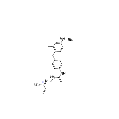 C=C/C(=N\CNC(=C)Nc1ccc(Cc2ccc(NC(C)(C)C)cc2C)cc1)C(C)(C)C